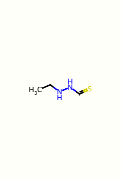 CCNN[C]=S